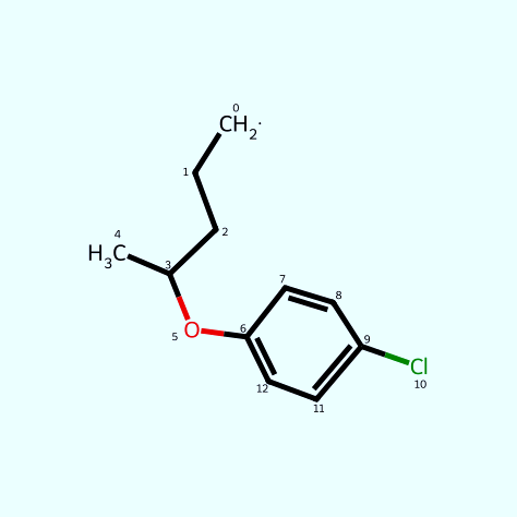 [CH2]CCC(C)Oc1ccc(Cl)cc1